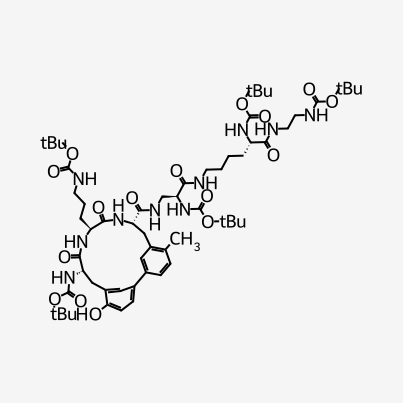 Cc1ccc2cc1C[C@@H](C(=O)NC[C@H](NC(=O)OC(C)(C)C)C(=O)NCCCC[C@H](NC(=O)OC(C)(C)C)C(=O)NCCNC(=O)OC(C)(C)C)NC(=O)[C@H](CCCNC(=O)OC(C)(C)C)NC(=O)[C@@H](NC(=O)OC(C)(C)C)Cc1cc-2ccc1O